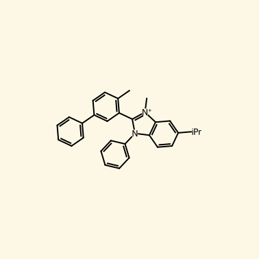 Cc1ccc(-c2ccccc2)cc1-c1n(-c2ccccc2)c2ccc(C(C)C)cc2[n+]1C